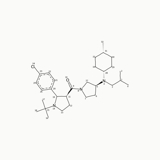 CC(C)CN([C@H]1CCN(C(=O)[C@H]2CCN(C(C)(C)C)C2c2ccc(Cl)cc2)C1)[C@H]1CC[C@@H](C)CC1